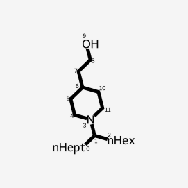 CCCCCCCC(CCCCCC)N1CCC(CCO)CC1